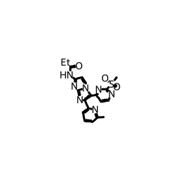 CCC(=O)Nc1ccn2c(-c3ccnc(S(C)(=O)=O)n3)c(-c3cccc(C)n3)nc2n1